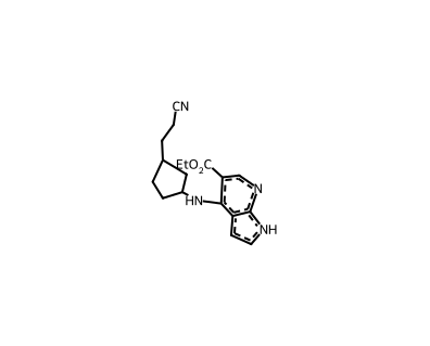 CCOC(=O)c1cnc2[nH]ccc2c1NC1CCC(CCC#N)C1